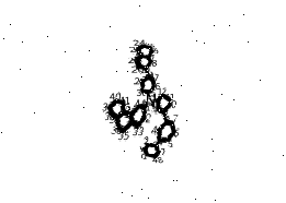 c1ccc(-c2cccc(-c3cccc(N(c4ccc(-c5ccc6ccccc6c5)cc4)c4ccc5ccc6ccccc6c5c4)c3)c2)cc1